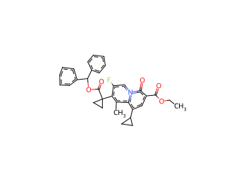 CCOC(=O)c1cc(C2CC2)c2c(C)c(C3(C(=O)OC(c4ccccc4)c4ccccc4)CC3)c(F)cn2c1=O